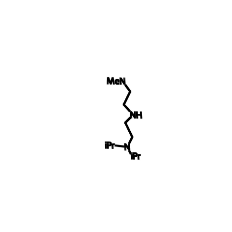 CNCCNCCN(C(C)C)C(C)C